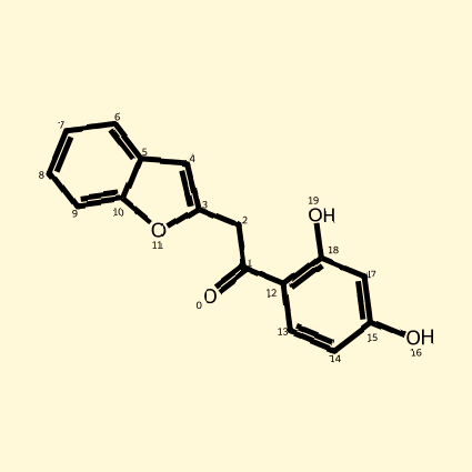 O=C(Cc1cc2ccccc2o1)c1ccc(O)cc1O